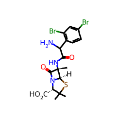 CC1(C)S[C@H]2N(C(=O)[C@]2(C)NC(=O)C(N)c2ccc(Br)cc2Br)[C@H]1C(=O)O